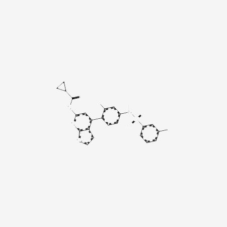 O=C(Nc1cc(-c2ccc(NS(=O)(=O)c3cccc(F)c3)cc2C(F)(F)F)c2cc[nH]c2n1)C1CC1